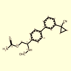 N#CC1(c2cccc(-c3ccc(C(COC(N)=O)NC=O)cc3)c2)CC1